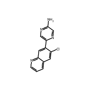 Nc1cnc(-c2cc3ncccc3cc2Cl)cn1